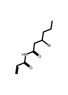 C=CC(=O)NC(=O)CC(Br)CCC